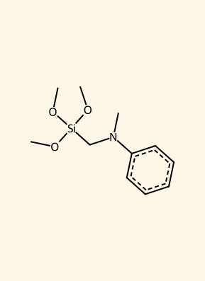 CO[Si](CN(C)c1ccccc1)(OC)OC